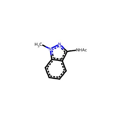 CC(=O)Nc1nn(C)c2ccccc12